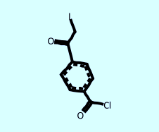 O=C(Cl)c1ccc(C(=O)CI)cc1